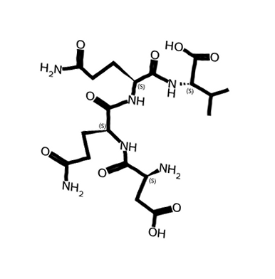 CC(C)[C@H](NC(=O)[C@H](CCC(N)=O)NC(=O)[C@H](CCC(N)=O)NC(=O)[C@@H](N)CC(=O)O)C(=O)O